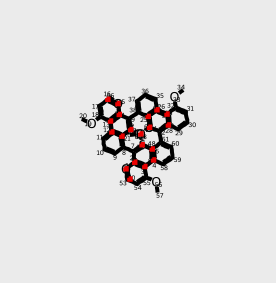 COc1ccccc1-c1cccc(-c2ccccc2OC)c1[S][Bi]([S]c1c(-c2ccccc2OC)cccc1-c1ccccc1OC)[S]c1c(-c2ccccc2OC)cccc1-c1ccccc1OC